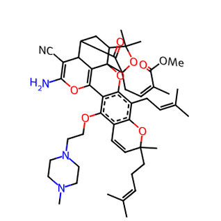 COC(=O)/C(C)=C\CC12OC(C)(C)C3CC(C1=O)C1C(C#N)=C(N)OC4=C1C32Oc1c(CC=C(C)C)c2c(c(OCCN3CCN(C)CC3)c14)C=CC(C)(CCC=C(C)C)O2